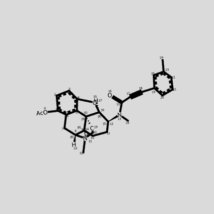 CC(=O)Oc1ccc2c3c1C[C@@H]1[C@@H]4CC[C@H](N(C)C(=O)C#Cc5cccc(C)c5)[C@H](O2)[C@]34CCN1C